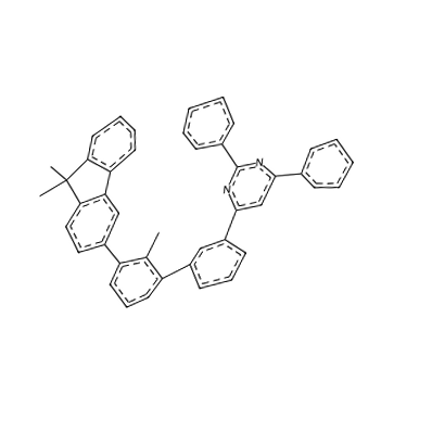 Cc1c(-c2cccc(-c3cc(-c4ccccc4)nc(-c4ccccc4)n3)c2)cccc1-c1ccc2c(c1)-c1ccccc1C2(C)C